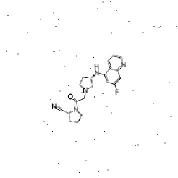 N#CC1CCCN1C(=O)CN1CC[C@@H](Nc2cc(F)cc3ncccc23)C1